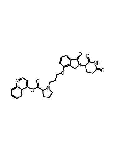 O=C1CCC(N2Cc3c(OCCCN4CCCC4C(=O)Oc4ccnc5ccccc45)cccc3C2=O)C(=O)N1